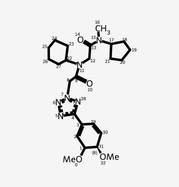 COC1C=C(c2nnn(CC(=O)N(CC(=O)N(C)C3CCCC3)C3CCCCC3)n2)C=C[C@H]1OC